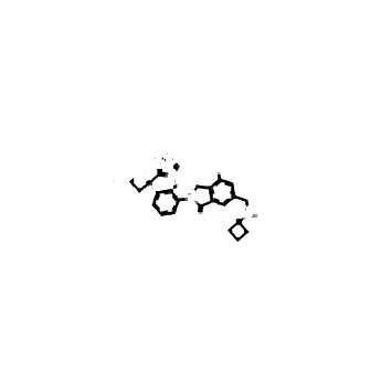 C[C@H]1C[C@@](c2cccc(N3Cc4c(cc(CN(C(=O)O)C5(C)CCC5)cc4C(F)(F)F)C3=O)c2)(c2nncn2C)O1